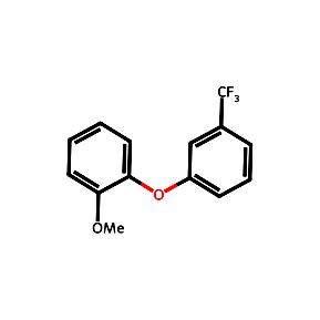 COc1ccccc1Oc1cccc(C(F)(F)F)c1